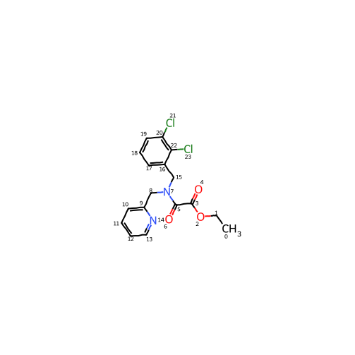 CCOC(=O)C(=O)N(Cc1ccccn1)Cc1cccc(Cl)c1Cl